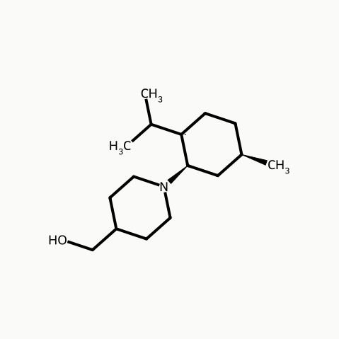 CC(C)[C]1CC[C@@H](C)C[C@H]1N1CCC(CO)CC1